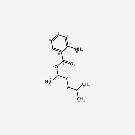 CC(C)CCC(C)OC(=O)c1ccccc1N